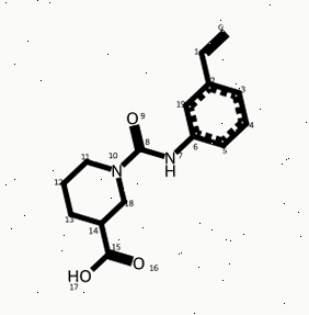 C=Cc1cccc(NC(=O)N2CCCC(C(=O)O)C2)c1